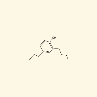 CCCCc1cc(CCC)ccc1O